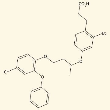 CCc1cc(OC(C)CCOc2ccc(Cl)cc2Oc2ccccc2)ccc1CCC(=O)O